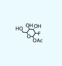 CC(=O)OC1OC(CO)[C@@H](O)[C@H](O)C1F